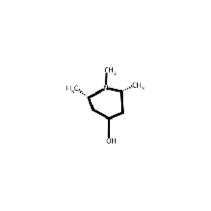 C[C@@H]1CC(O)C[C@H](C)N1C